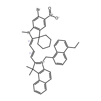 CCc1cccc2c(C[N+]3=C(/C=C/C=C4/N(C)c5cc(Br)c([N+](=O)[O-])cc5C45CCCCC5)C(C)(C)c4c3ccc3ccccc43)cccc12